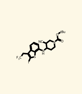 CC(C)(C)OC(=O)N1CCC(Nc2cccc3c(CC(F)(F)F)c(I)sc23)C(C#N)C1